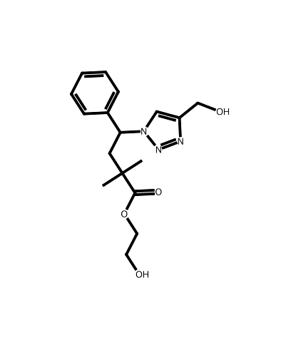 CC(C)(CC(c1ccccc1)n1cc(CO)nn1)C(=O)OCCO